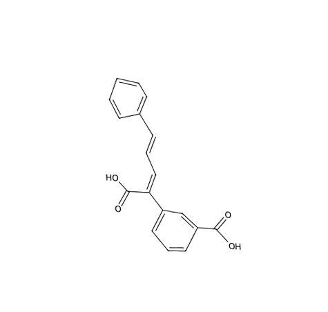 O=C(O)C(=CC=Cc1ccccc1)c1cccc(C(=O)O)c1